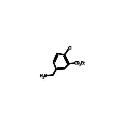 CCOC(=O)c1cc(CN)ccc1Cl